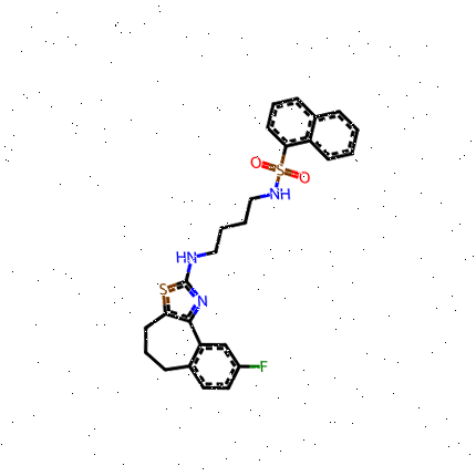 O=S(=O)(NCCCCNc1nc2c(s1)CCCc1ccc(F)cc1-2)c1cccc2ccccc12